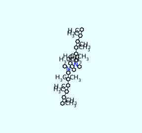 Cc1cc(-c2ccc3c(c2)C(C)(C)c2cc(-c4ccc5c(c4)C(C)(C)c4ccccc4-5)ccc2-3)cc(C)c1-c1ccc(N(c2ccccc2)c2c3ccccc3c(N(c3ccccc3)c3ccc(-c4c(C)cc(-c5ccc6c(c5)C(C)(C)c5cc(-c7ccc8c(c7)C(C)(C)c7ccccc7-8)ccc5-6)cc4C)cc3)c3cc(C(C)(C)C)ccc23)cc1